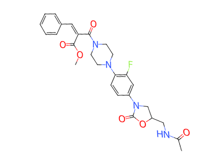 COC(=O)C(=Cc1ccccc1)C(=O)N1CCN(c2ccc(N3CC(CNC(C)=O)OC3=O)cc2F)CC1